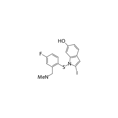 CNCc1cc(F)ccc1Sn1c(I)cc2ccc(O)cc21